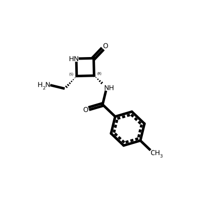 Cc1ccc(C(=O)N[C@H]2C(=O)N[C@H]2CN)cc1